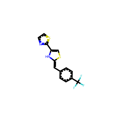 FC(F)(F)c1ccc(C=C2NC(c3nccs3)=CS2)cc1